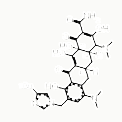 CN(C)c1cc(Cn2cnc(C(C)(C)C)c2)c(O)c2c1C[C@H]1C[C@H]3C(N(C)C)C(O)=C(C(N)=O)C(=O)[C@@]3(O)C(O)=C1C2=O